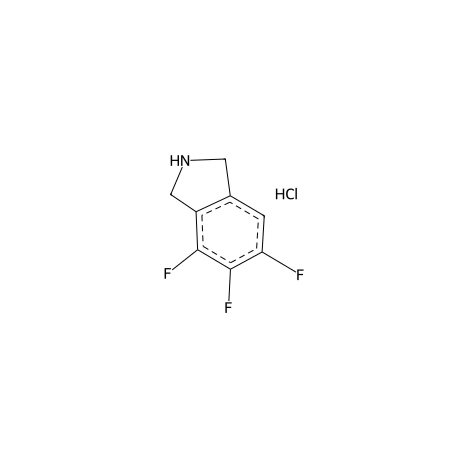 Cl.Fc1cc2c(c(F)c1F)CNC2